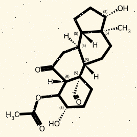 CC(=O)OC1[C@@H](O)CC[C@@]2(C=O)[C@H]1C(=O)C[C@H]1[C@@H]3CC[C@H](O)[C@@]3(C)CC[C@@H]12